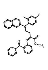 COC(=O)C(CC=C(c1ccc2ccccc2c1)c1ccc(F)cc1F)=Nc1ccccc1C(=O)c1ccccc1